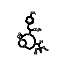 [3H]C(N1CCN2CC[N+]([O-])(CC2)C(=O)CN(C(Cc2ccc([N+](=O)[O-])cc2)C(=O)OCC)CC1)P(=O)(OCC)OCC